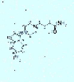 NC(=O)CCCN1CCN(c2csc3cc(C(F)(F)F)ccc23)CC1